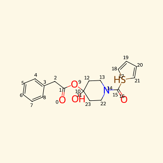 O=C(Cc1ccccc1)OC1(O)CCN(C(=O)[SH]2C=CC=C2)CC1